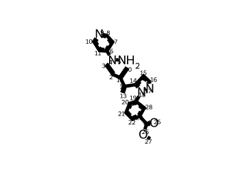 C=C(/C=C\N(N)c1ccncc1)C(=C)c1ccnn1-c1cccc(C(=O)OC)c1